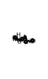 CCN(Cc1ccccc1CCc1ccccc1)c1ccc(C(=O)NCc2ccccn2)cc1